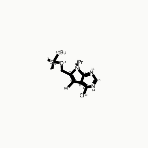 CC(C)n1c(CO[Si](C)(C)C(C)(C)C)c(I)c2c(Cl)ncnc21